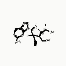 C#CC1(F)C(CO)[C@@H]([C@H](C)O)O[C@H]1n1cnc2cnc(N)nc21